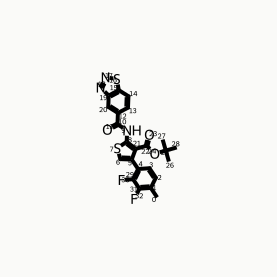 Cc1ccc(-c2csc(NC(=O)c3ccc4snnc4c3)c2C(=O)OC(C)(C)C)c(F)c1F